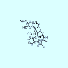 C=C(Nc1ccc(Oc2ccnc3cc(OC)c(O)cc23)cn1)c1nn(-c2cnccc2CC(=O)O)cc1C